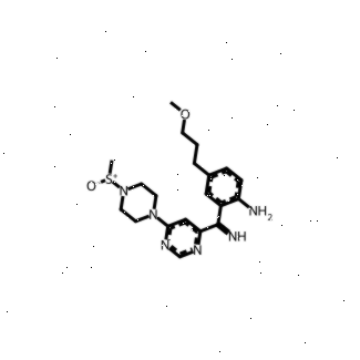 COCCCc1ccc(N)c(C(=N)c2cc(N3CCN([S+](C)[O-])CC3)ncn2)c1